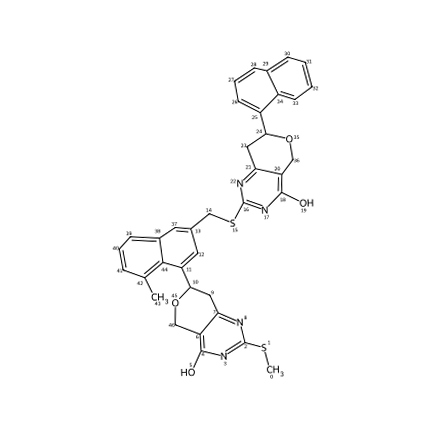 CSc1nc(O)c2c(n1)CC(c1cc(CSc3nc(O)c4c(n3)CC(c3cccc5ccccc35)OC4)cc3cccc(C)c13)OC2